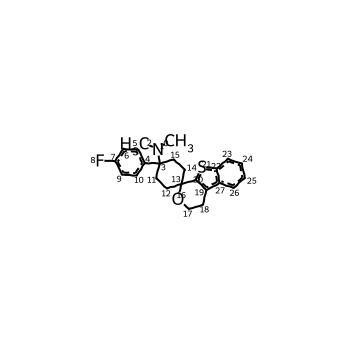 CN(C)C1(c2ccc(F)cc2)CCC2(CC1)OCCc1c2sc2ccccc12